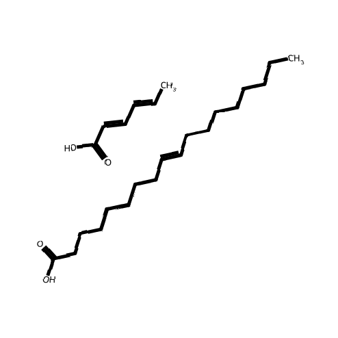 C/C=C/C=C/C(=O)O.CCCCCCCC/C=C/CCCCCCCC(=O)O